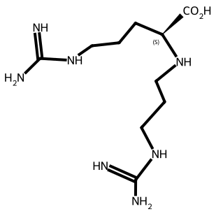 N=C(N)NCCCN[C@@H](CCCNC(=N)N)C(=O)O